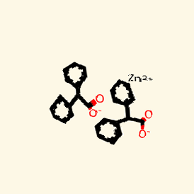 O=C([O-])C(c1ccccc1)c1ccccc1.O=C([O-])C(c1ccccc1)c1ccccc1.[Zn+2]